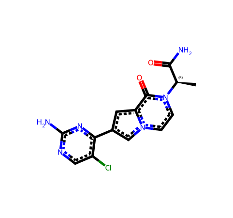 C[C@H](C(N)=O)n1ccn2cc(-c3nc(N)ncc3Cl)cc2c1=O